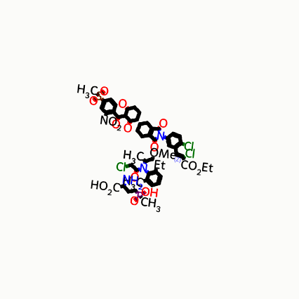 CCOC(=O)/C(Cl)=C/c1cc(N2C(=O)C3=C(CCCC3)C2=O)ccc1Cl.CCc1cccc(C)c1N(C(=O)CCl)C(C)COC.CP(=O)(O)CCC(N)C(=O)O.CS(=O)(=O)c1ccc(C(=O)C2C(=O)CCCC2=O)c([N+](=O)[O-])c1